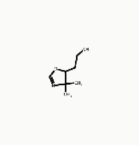 CCCC1O[C]=NC1(C)C